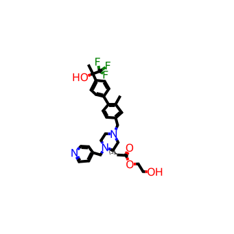 Cc1cc(CN2CCN(Cc3ccncc3)[C@@H](CC(=O)OCCO)C2)ccc1-c1ccc(C(C)(O)C(F)(F)F)cc1